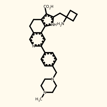 CN1CCN(Cc2ccc(-c3cc4c(cn3)CCc3c-4[nH]c(CC4(N)CCC4)c3C(=O)O)cc2)CC1